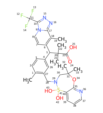 Cc1ccc(C(c2ccn3c(C(F)(F)F)nnc3c2C)C(C)(C)C(=O)O)cc1CN1CC(C)(C)Oc2ncccc2S1(O)O